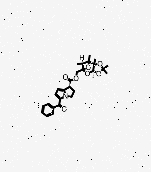 C[C@@H]1C2(COC(=O)[C@H]3CCn4c(C(=O)c5ccccc5)ccc43)OC1(C)C1(C)OC(C)(C)O[C@@]1(C)O2